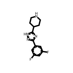 Fc1cc(F)cc(-c2n[nH]c(C3CCNCC3)n2)c1